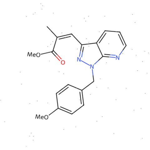 COC(=O)C(C)=Cc1nn(Cc2ccc(OC)cc2)c2ncccc12